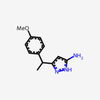 COc1ccc(C(C)c2cc(N)[nH]n2)cc1